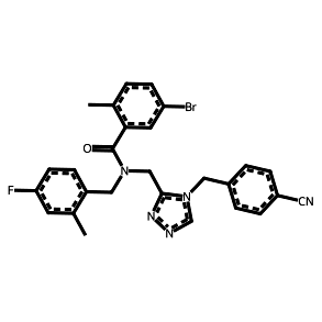 Cc1cc(F)ccc1CN(Cc1nncn1Cc1ccc(C#N)cc1)C(=O)c1cc(Br)ccc1C